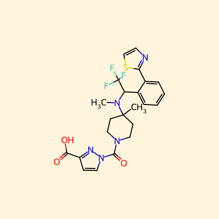 CN(C(c1ccccc1-c1nccs1)C(F)(F)F)C1(C)CCN(C(=O)n2ccc(C(=O)O)n2)CC1